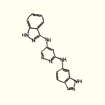 c1ccc2c(Nc3cnnc(Nc4ccc5cn[nH]c5c4)c3)n[nH]c2c1